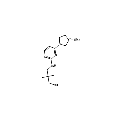 CN[C@H]1CCN(c2ccnc([AsH]CC(C)(C)CO)n2)C1